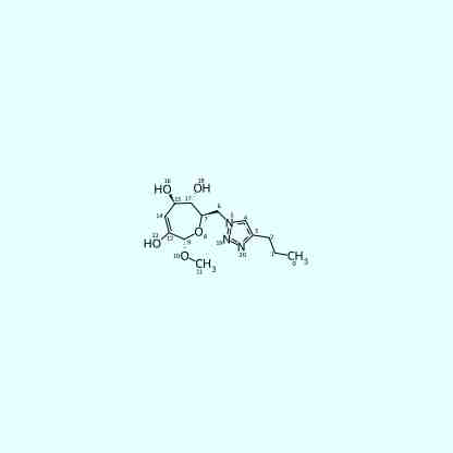 CCCc1cn(C[C@H]2O[C@H](OC)C(O)=C[C@@H](O)[C@@H]2O)nn1